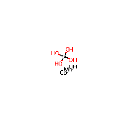 O[Si](O)(O)O.[Co].[LiH].[Mn]